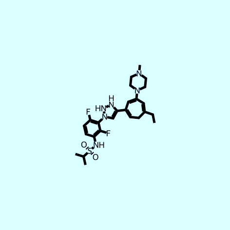 CCC1=CC(N2CCN(C)CC2)=CC(C2=CN(c3c(F)ccc(NS(=O)(=O)C(C)C)c3F)NN2)=CC1